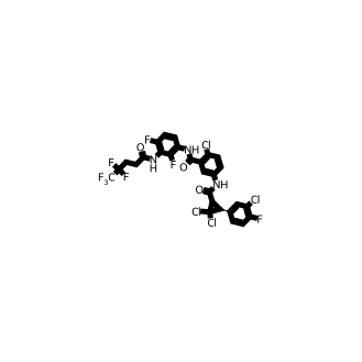 O=C(CCC(F)(F)C(F)(F)F)Nc1c(F)ccc(NC(=O)c2cc(NC(=O)C3[C@H](c4ccc(F)c(Cl)c4)C3(Cl)Cl)ccc2Cl)c1F